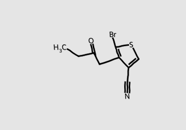 CCC(=O)Cc1c(C#N)csc1Br